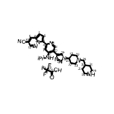 CC(C)Nc1cc(-c2ccc3cc(C#N)cnn23)ncc1-c1cn(C2CCN(CC3CCNCC3)CC2)nn1.O=C(O)C(F)(F)F